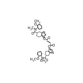 COc1ccccc1N(C)C(=O)C1CCc2c(ncn2OC(=O)/C=C/C(=O)On2cnc3c2CCC(C(=O)N(C)c2ccccc2OC)C3)C1